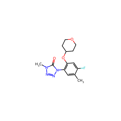 Cc1cc(-n2nnn(C)c2=O)c(OC2CCOCC2)cc1F